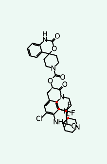 Nc1c(Cl)cc(C[C@@H](OC(=O)N2CCC3(CC2)OC(=O)Nc2ccccc23)C(=O)N2CCN(C3CN4CCC3CC4)CC2)cc1C(F)(F)F